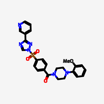 COc1ccccc1N1CCN(C(=O)c2ccc(S(=O)(=O)n3cnc(-c4cccnc4)n3)cc2)CC1